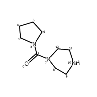 O=C(N1CCCC1)N1CCNCC1